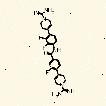 N=C(N)N1CC=C(c2ccc(C(=O)Nc3ccc(C4=CCN(C(=N)N)CC4)c(F)c3F)cc2F)CC1